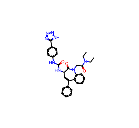 CCN(CC)C(=O)CN1C(=O)C(NC(=O)Nc2ccc(-c3nnn[nH]3)cc2)C=C(c2ccccc2)c2ccccc21